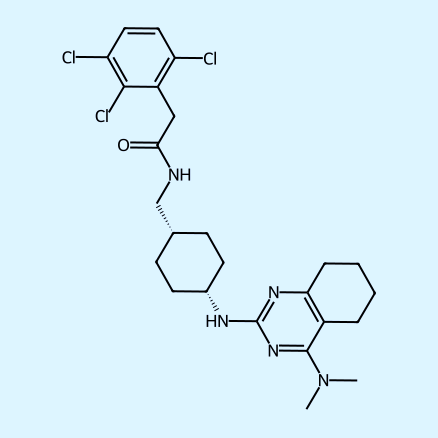 CN(C)c1nc(N[C@H]2CC[C@@H](CNC(=O)Cc3c(Cl)ccc(Cl)c3Cl)CC2)nc2c1CCCC2